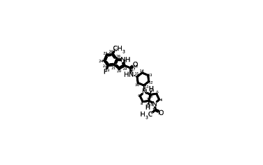 CC(=O)N1CC[C@@H]2[C@H]1CCN2[C@@H]1CCC[C@@H](NC(=O)c2cc3c(F)ccc(C)c3[nH]2)C1